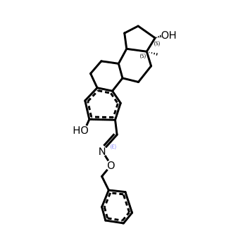 C[C@]12CCC3c4cc(/C=N/OCc5ccccc5)c(O)cc4CCC3C1CC[C@@H]2O